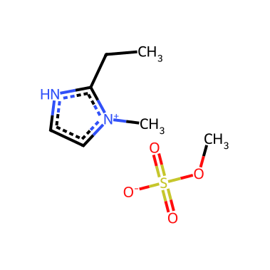 CCc1[nH]cc[n+]1C.COS(=O)(=O)[O-]